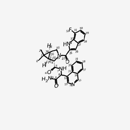 CC1(C)[C@@H]2[C@@H](C(=O)NC(C(N)=O)c3cncc4ccccc34)N(C(=O)c3cc4cccc(F)c4[nH]3)C[C@@H]21